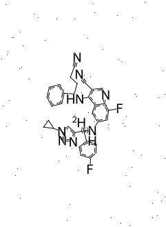 [2H][C@](Nc1cc(F)c2ncc(C#N)c(NC(CCC#N)c3ccccc3)c2c1)(c1ccc(F)cc1)c1cn(C2CC2)nn1